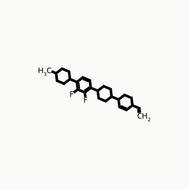 C=CC1C=CC(C2CCC(c3ccc(C4CCC(C)CC4)c(F)c3F)CC2)CC1